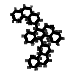 c1cnc2c(c1)ccc1ccc(-c3c4ccccc4c(-c4ccc5ccc6cccnc6c5n4)c4c3cnc3ccccc34)nc12